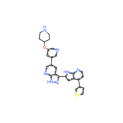 c1cc(-c2ccsc2)c2cc(-c3n[nH]c4ncc(-c5cncc(OC6CCNCC6)c5)cc34)[nH]c2n1